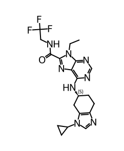 CCn1c(C(=O)NCC(F)(F)F)nc2c(N[C@H]3CCc4ncn(C5CC5)c4C3)ncnc21